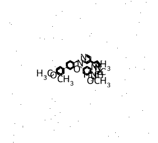 COc1ccc([C@H]2CC[C@H](CN(c3cc(-c4ccn(C(C)C)n4)ccn3)C(=O)[C@H]3CC[C@H](NC(C)=O)CC3)CC2)cc1C